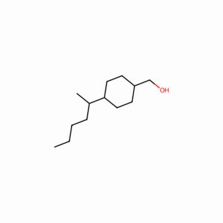 CCCCC(C)C1CCC(CO)CC1